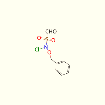 O=CS(=O)(=O)N(Cl)OCc1ccccc1